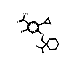 O=C(O)c1cc(C2CC2)c(OCC2(C(F)F)CCCCC2)cc1F